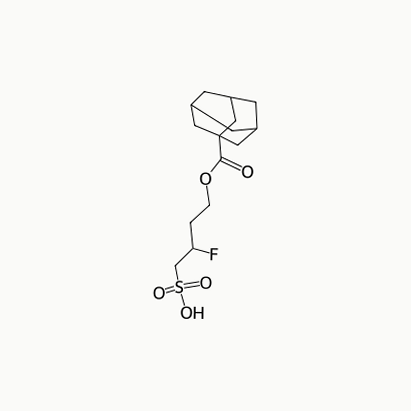 O=C(OCCC(F)CS(=O)(=O)O)C12CC3CC(CC(C3)C1)C2